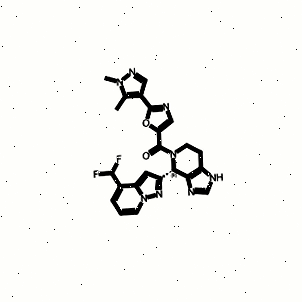 Cc1c(-c2ncc(C(=O)N3CCc4[nH]cnc4[C@@H]3c3cc4c(C(F)F)cccn4n3)o2)cnn1C